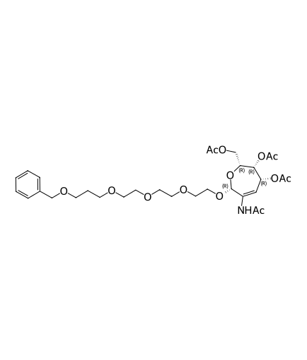 CC(=O)NC1=C[C@@H](OC(C)=O)[C@@H](OC(C)=O)[C@@H](COC(C)=O)O[C@H]1OCCOCCOCCOCCCOCc1ccccc1